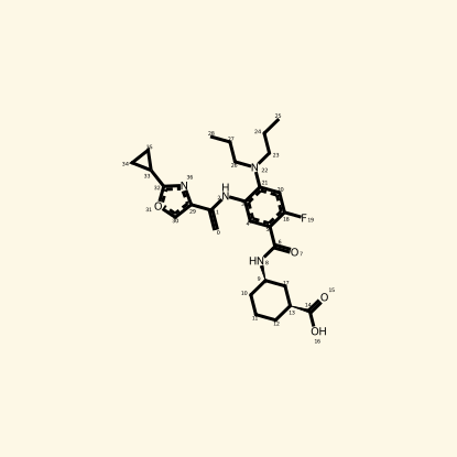 C=C(Nc1cc(C(=O)N[C@@H]2CCC[C@H](C(=O)O)C2)c(F)cc1N(CCC)CCC)c1coc(C2CC2)n1